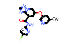 N#Cc1cncc(Oc2cc(C(=O)Nc3ccc(F)cn3)c3ncnn3c2)c1